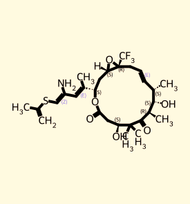 C=C(C)S/C=C(N)/C=C(\C)[C@@H]1C[C@@H]2O[C@]2(C(F)(F)F)C/C=C/[C@H](C)[C@H](O)[C@@H](C)C(=O)C(C)(C)[C@@H](O)CC(=O)O1